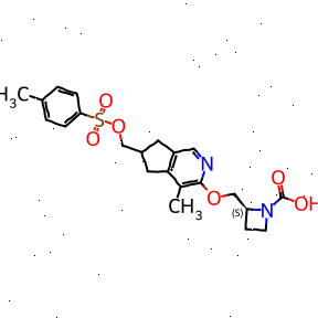 Cc1ccc(S(=O)(=O)OCC2Cc3cnc(OC[C@@H]4CCN4C(=O)O)c(C)c3C2)cc1